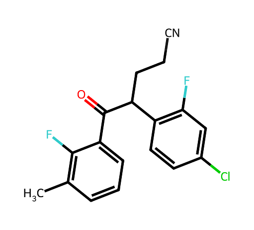 Cc1cccc(C(=O)C(CCC#N)c2ccc(Cl)cc2F)c1F